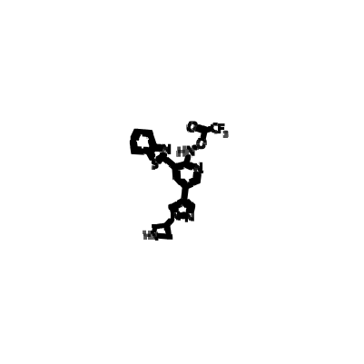 O=C(ONc1ncc(-c2cnn(C3CNC3)c2)cc1-c1nc2ccccc2s1)C(F)(F)F